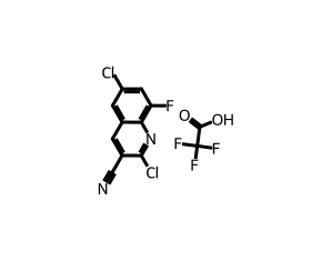 N#Cc1cc2cc(Cl)cc(F)c2nc1Cl.O=C(O)C(F)(F)F